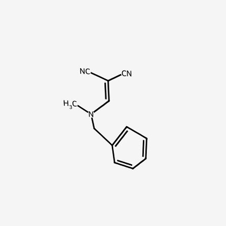 CN(C=C(C#N)C#N)Cc1ccccc1